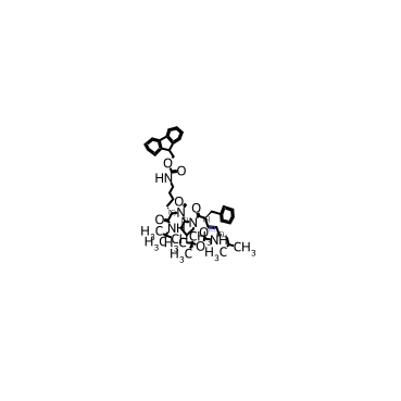 CC(C)C[C@@H](/C=C/[C@H](Cc1ccccc1)C(=O)N1CCC[C@H]1N(C=O)[C@@H](CCCCNC(=O)OCC1c2ccccc2-c2ccccc21)C(=O)NC(C)(C)C)NC(=O)OC(C)(C)C